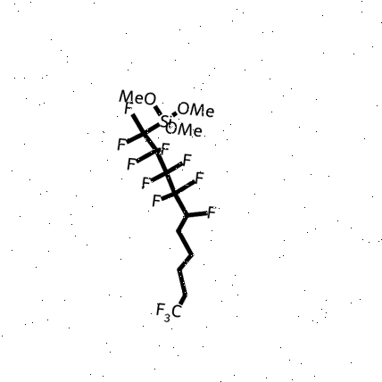 CO[Si](OC)(OC)C(F)(F)C(F)(F)C(F)(F)C(F)(F)C(F)CCCCC(F)(F)F